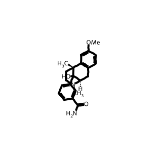 COc1ccc2c(c1)[C@@]1(C)CCN(C)[C@H](C2)C1(O)c1cccc(C(N)=O)c1